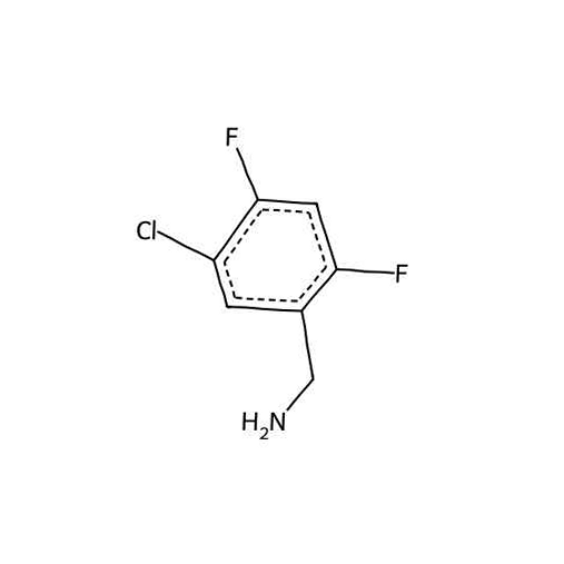 NCc1cc(Cl)c(F)cc1F